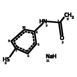 CC(=O)Nc1ccc(S)cc1.[NaH]